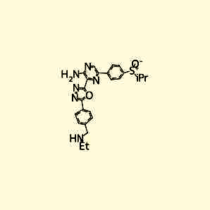 CCNCc1ccc(-c2nnc(-c3nc(-c4ccc([S+]([O-])C(C)C)cc4)cnc3N)o2)cc1